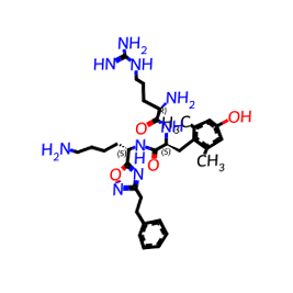 Cc1cc(O)cc(C)c1C[C@H](NC(=O)[C@H](N)CCCNC(=N)N)C(=O)N[C@@H](CCCCN)c1nc(CCc2ccccc2)no1